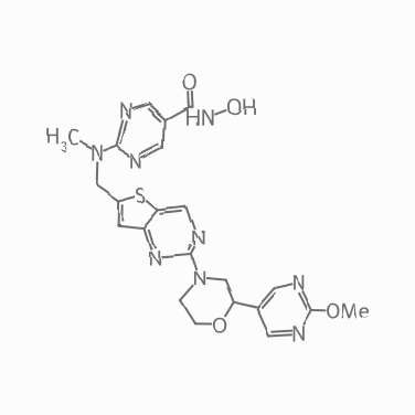 COc1ncc(C2CN(c3ncc4sc(CN(C)c5ncc(C(=O)NO)cn5)cc4n3)CCO2)cn1